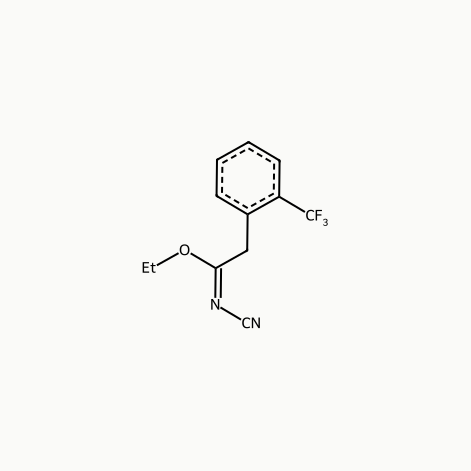 CCO/C(Cc1ccccc1C(F)(F)F)=N/C#N